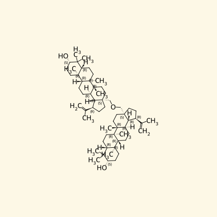 C=C(C)[C@@H]1CC[C@]2(COC[C@]34CC[C@@H](C(=C)C)[C@@H]3[C@H]3CC[C@@H]5[C@@]6(C)CC[C@H](O)C(C)(C)[C@@H]6CC[C@@]5(C)[C@]3(C)CC4)CC[C@]3(C)[C@H](CC[C@@H]4[C@@]5(C)CC[C@H](O)C(C)(C)[C@@H]5CC[C@]43C)[C@@H]12